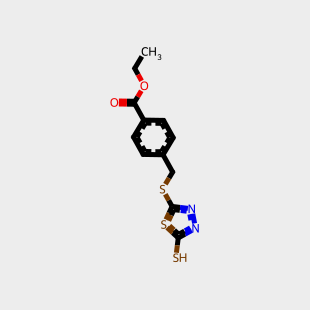 CCOC(=O)c1ccc(CSc2nnc(S)s2)cc1